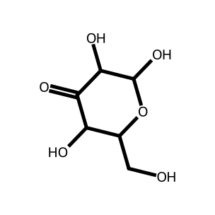 O=C1C(O)C(O)OC(CO)C1O